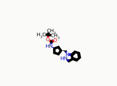 CC(C)(C)OC(=O)N[C@H]1CC[C@@H](CN2NCc3ccccc32)C1